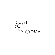 CCOC(=O)c1ccc(CCCc2ccc(OC)cc2)o1